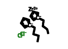 CCCC[c-]1cccc1.CCCC[c-]1cccc1.[Cl-].[Cl-].[Zr+2]